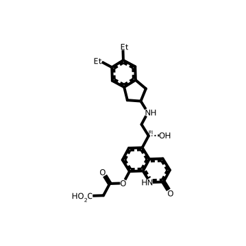 CCc1cc2c(cc1CC)CC(NC[C@H](O)c1ccc(OC(=O)CC(=O)O)c3[nH]c(=O)ccc13)C2